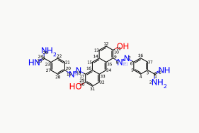 N=C(N)c1ccc(/N=N/c2c(O)ccc3cc4c(/N=N/c5ccc(C(=N)N)cc5)c(O)ccc4cc23)cc1